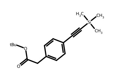 CC(C)(C)OC(=O)Cc1ccc(C#C[Si](C)(C)C)cc1